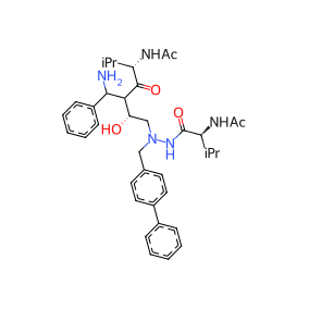 CC(=O)N[C@H](C(=O)NN(Cc1ccc(-c2ccccc2)cc1)C[C@H](O)C(C(=O)[C@@H](NC(C)=O)C(C)C)C(N)c1ccccc1)C(C)C